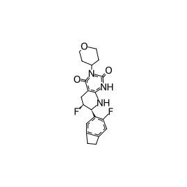 O=c1[nH]c2c(c(=O)n1C1CCOCC1)C[C@H](F)[C@H](c1cc3c(cc1F)CC3)N2